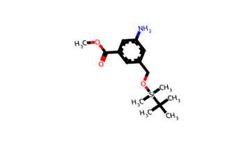 COC(=O)c1cc(N)cc(CO[Si](C)(C)C(C)(C)C)c1